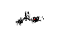 CCCC[C@@H](C)N(CCNCCc1ccc(O)c2c1OCC(=O)N2)C(=O)CCOCCCNC(=O)c1ccc(O)c(C2(c3ccccc3)CCN(C)CC2)c1